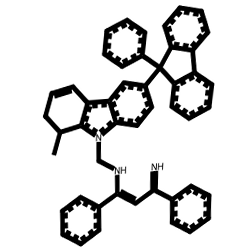 CC1CC=Cc2c1n(CN/C(=C\C(=N)c1ccccc1)c1ccccc1)c1ccc(C3(c4ccccc4)c4ccccc4-c4ccccc43)cc21